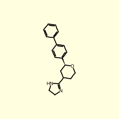 c1ccc(-c2ccc([C@@H]3CC(C4=NCCN4)CCO3)cc2)cc1